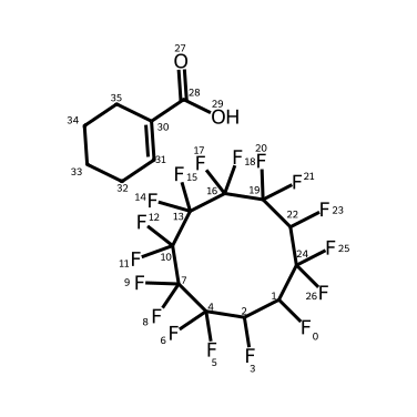 FC1C(F)C(F)(F)C(F)(F)C(F)(F)C(F)(F)C(F)(F)C(F)(F)C(F)C1(F)F.O=C(O)C1=CCCCC1